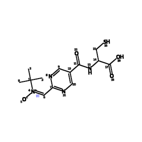 CC(C)(C)/[N+]([O-])=C\c1ncc(C(=O)NC(CS)C(=O)O)cn1